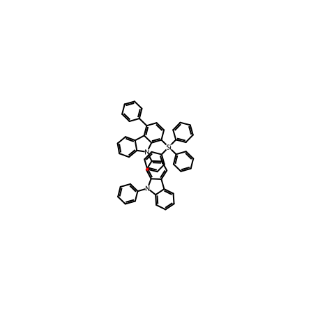 c1ccc(-c2ccc([Si](c3ccccc3)(c3ccccc3)c3ccccc3)c3c2c2ccccc2n3-c2ccc3c4ccccc4n(-c4ccccc4)c3c2)cc1